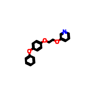 c1ccc(Oc2ccc(OCCOc3cccnc3)cc2)cc1